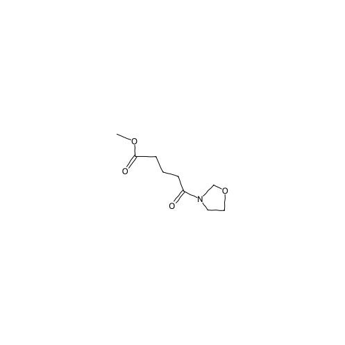 COC(=O)CCCC(=O)N1CCOC1